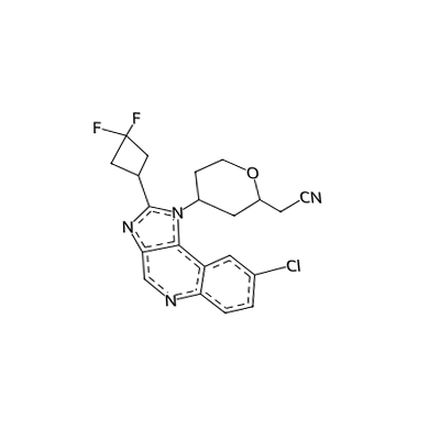 N#CCC1CC(n2c(C3CC(F)(F)C3)nc3cnc4ccc(Cl)cc4c32)CCO1